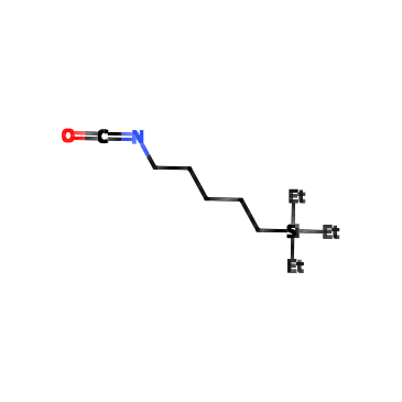 CC[Si](CC)(CC)CCCCCN=C=O